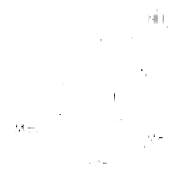 COc1cc2cc(N)[nH]c2c(OC)c1OC